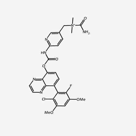 COc1cc(OC)c(Cl)c(-c2ccc(OC(=O)Nc3ccc(C[N+](C)(C)C(N)=O)cn3)c3nccnc23)c1F